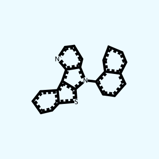 c1ccc2c(-n3c4cccnc4c4c5ccccc5sc43)cccc2c1